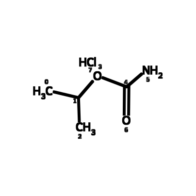 CC(C)OC(N)=O.Cl